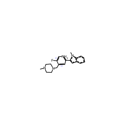 C=C(/C=C(CN1CCN(C)CC1)\C(F)=C/N)c1cc2ccccc2n1C